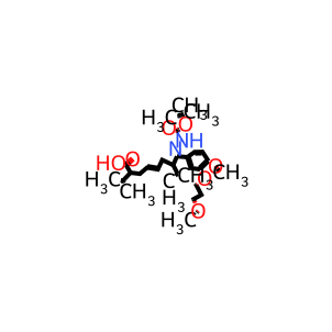 COCCCOc1cc(/C(=N\NC(=O)OC(C)(C)C)C(C/C=C/CC(C(=O)O)C(C)C)C(C)C)ccc1OC